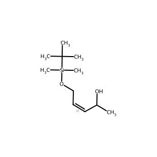 CC(O)/C=C\CO[Si](C)(C)C(C)(C)C